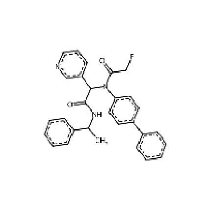 CC(NC(=O)C(c1cccnc1)N(C(=O)CF)c1ccc(-c2ccccc2)cc1)c1ccccc1